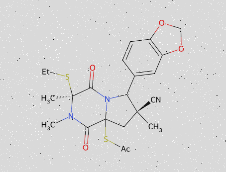 CCS[C@@]1(C)C(=O)N2C(c3ccc4c(c3)OCO4)[C@@](C)(C#N)CC2(SC(C)=O)C(=O)N1C